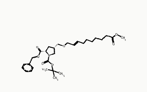 COC(=O)CCCCCC/C=C/COC[C@H]1C[C@@H](C(=O)OCc2ccccc2)N(C(=O)OC(C)(C)C)C1